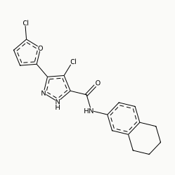 O=C(Nc1ccc2c(c1)CCCC2)c1[nH]nc(-c2ccc(Cl)o2)c1Cl